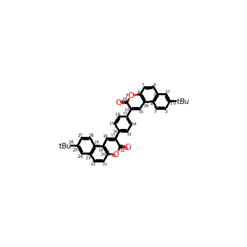 CC(C)(C)c1ccc2c(ccc3oc(=O)c(-c4ccc(-c5cc6c(ccc7cc(C(C)(C)C)ccc76)oc5=O)cc4)cc32)c1